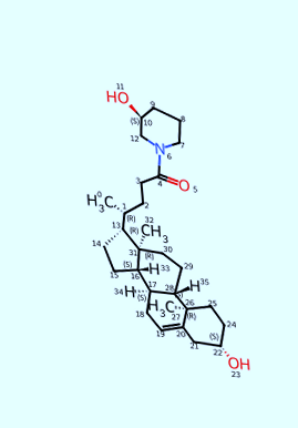 C[C@H](CCC(=O)N1CCC[C@H](O)C1)[C@H]1CC[C@H]2[C@@H]3CC=C4C[C@@H](O)CC[C@]4(C)[C@H]3CC[C@]12C